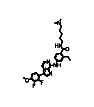 CCc1cc(Nc2nccn3c(-c4ccc(OC)c(F)c4F)cnc23)ccc1C(=O)NCCCCCN(C)C